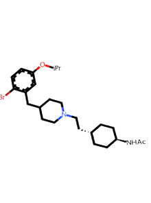 CC(=O)N[C@H]1CC[C@H](CCN2CCC(Cc3cc(OC(C)C)ccc3Br)CC2)CC1